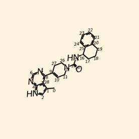 Cc1c[nH]c2ncnc(C3=CCN(C(=O)N[C@@H]4CCCc5ccccc54)CC3)c12